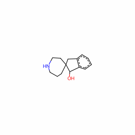 OC1c2ccccc2CC12CCCNCC2